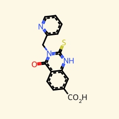 O=C(O)c1ccc2c(=O)n(Cc3ccccn3)c(=S)[nH]c2c1